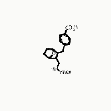 CCCCCCNCC1C2CCC(O2)C1Cc1ccc(C(=O)O)cc1